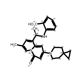 Cc1cc([C@@H](C)Nc2ccccc2C(=O)O)c2cc(N3CCC4(CC3)CC4)cc(=O)n2c1